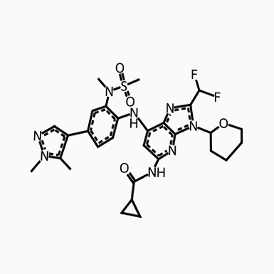 Cc1c(-c2ccc(Nc3cc(NC(=O)C4CC4)nc4c3nc(C(F)F)n4C3CCCCO3)c(N(C)S(C)(=O)=O)c2)cnn1C